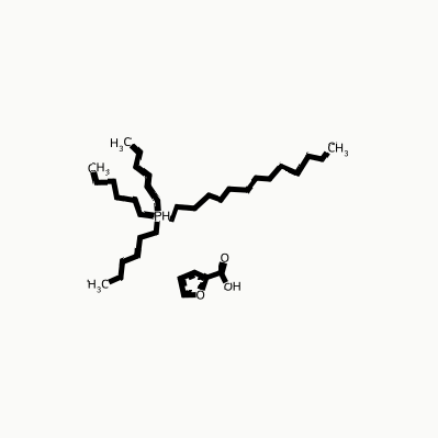 CCCCCCCCCCCCCC[PH](CCCCCC)(CCCCCC)CCCCCC.O=C(O)c1ccco1